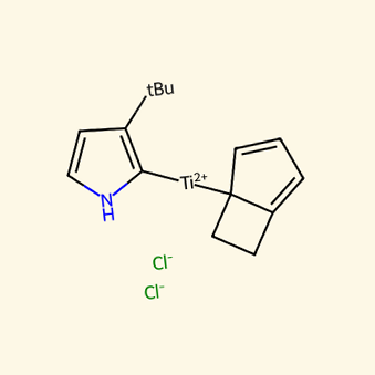 CC(C)(C)c1cc[nH][c]1[Ti+2][C]12C=CC=C1CC2.[Cl-].[Cl-]